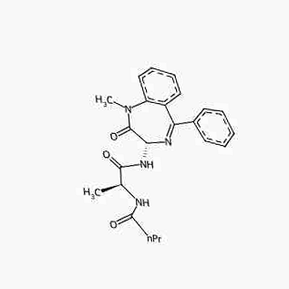 CCCC(=O)N[C@@H](C)C(=O)N[C@H]1N=C(c2ccccc2)c2ccccc2N(C)C1=O